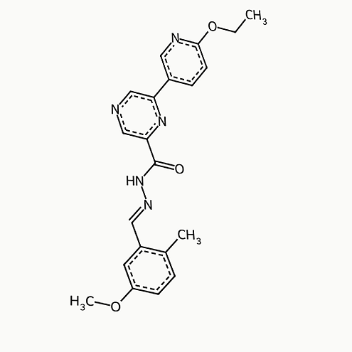 CCOc1ccc(-c2cncc(C(=O)N/N=C/c3cc(OC)ccc3C)n2)cn1